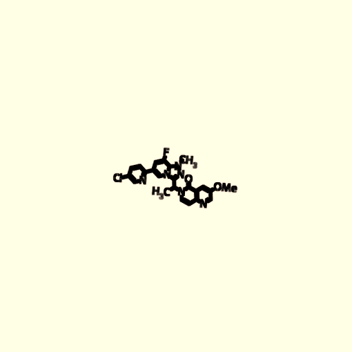 COc1cnc2ccn(C(C)C3=NN(C)C4C(F)=CC(c5ccc(Cl)cn5)=CN34)c(=O)c2c1